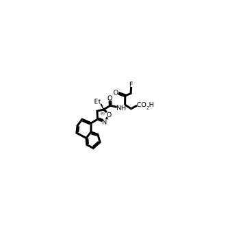 CC[C@]1(C(=O)NC(CC(=O)O)C(=O)CF)CC(c2cccc3ccccc23)=NO1